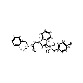 CN(Cc1ccccc1)C(=O)Cn1cc(S(=O)(=O)Cc2ccc(F)cc2)c2ccccc21